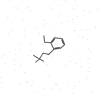 CCc1ccccc1[CH]CC(C)(C)C